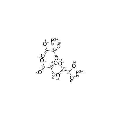 O=C([O-])C(=O)[O-].O=C([O-])C(=O)[O-].O=C([O-])C(=O)[O-].[P+3].[P+3]